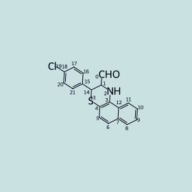 O=CC1Nc2c(ccc3ccccc23)SC1c1ccc(Cl)cc1